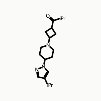 CC(C)C(=O)C1CC(N2CCC(n3cc(C(C)C)cn3)CC2)C1